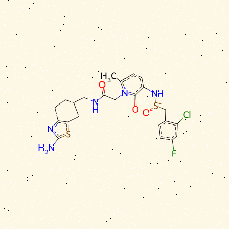 Cc1ccc(N[S+]([O-])Cc2ccc(F)cc2Cl)c(=O)n1CC(=O)NCC1CCc2nc(N)sc2C1